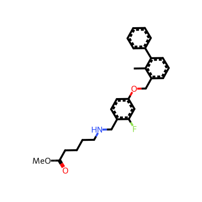 COC(=O)CCCCNCc1ccc(OCc2cccc(-c3ccccc3)c2C)cc1F